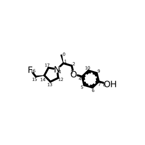 C[C@@H](COc1ccc(O)cc1)N1CC[C@@H](CF)C1